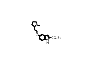 CCOC(=O)c1cc2cc(OCCC3CCCN3C)ccc2[nH]1